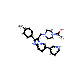 Cc1ccc(-c2nc3ccc(-c4cccnc4)cn3c2CN2CCN(C(=O)C(F)(F)F)CC2)cc1